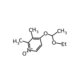 CCOC(C)Oc1cc[n+]([O-])c(C)c1C